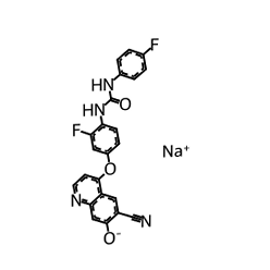 N#Cc1cc2c(Oc3ccc(NC(=O)Nc4ccc(F)cc4)c(F)c3)ccnc2cc1[O-].[Na+]